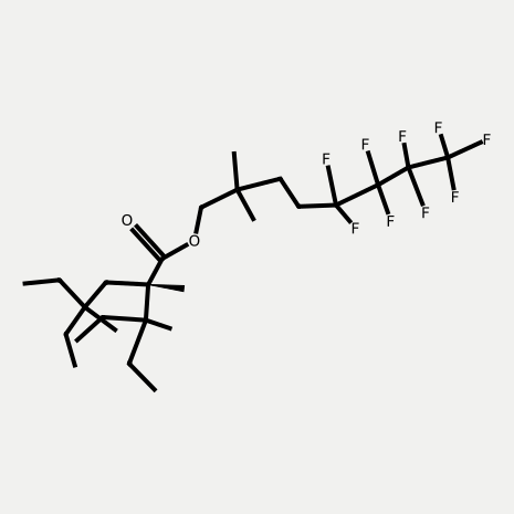 CCC(C)(CC)C[C@](C)(C(=O)OCC(C)(C)CCC(F)(F)C(F)(F)C(F)(F)C(F)(F)F)C(C)(CC)CC